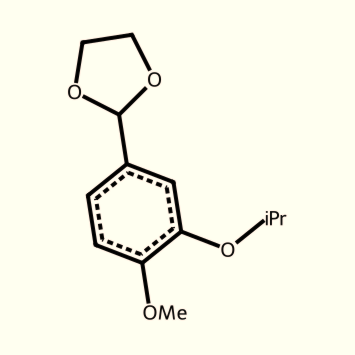 COc1ccc(C2OCCO2)cc1OC(C)C